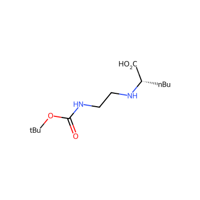 CCCC[C@H](NCCNC(=O)OC(C)(C)C)C(=O)O